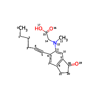 CCCCC#Cc1cc2c(cc1N(C)CC(=O)O)C(=O)CC2